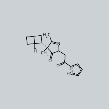 CC1=NN(CC(=O)c2ccc[nH]2)C(=O)C1(C)[C@H]1CC2CC[C@H]21